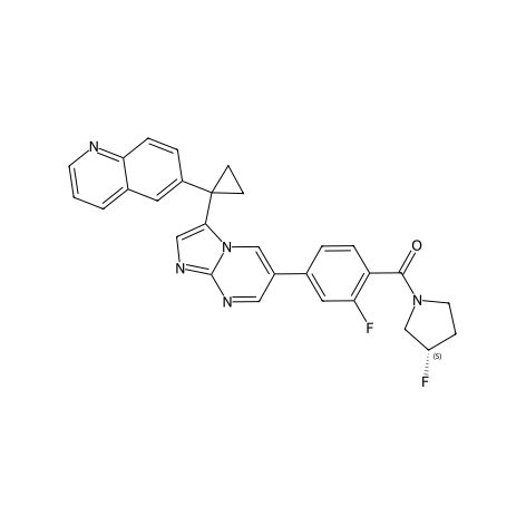 O=C(c1ccc(-c2cnc3ncc(C4(c5ccc6ncccc6c5)CC4)n3c2)cc1F)N1CC[C@H](F)C1